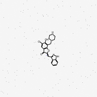 O=C1/C(=C/c2n[nH]c3ccccc23)Oc2c1cc(Cl)c(O)c2CN1CCNCC1